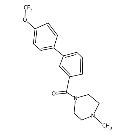 CN1CCN(C(=O)c2cccc(-c3ccc(OC(F)(F)F)cc3)c2)CC1